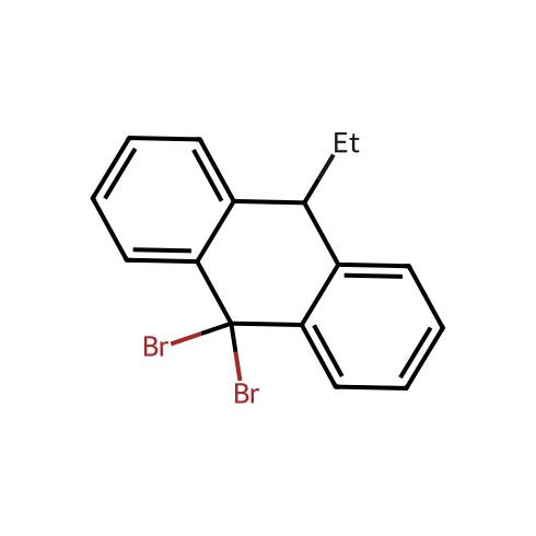 CCC1c2ccccc2C(Br)(Br)c2ccccc21